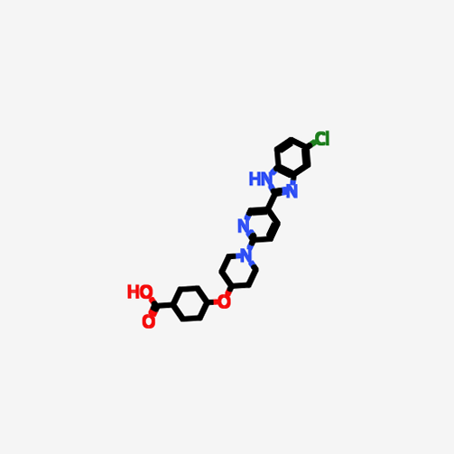 O=C(O)C1CCC(OC2CCN(c3ccc(-c4nc5cc(Cl)ccc5[nH]4)cn3)CC2)CC1